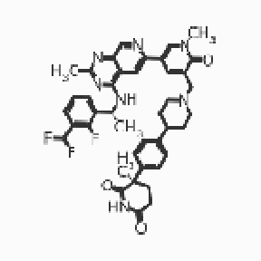 Cc1nc(N[C@H](C)c2cccc(C(F)F)c2F)c2cc(-c3cc(CN4CCC(c5ccc([C@@]6(C)CCC(=O)NC6=O)cc5)CC4)c(=O)n(C)c3)ncc2n1